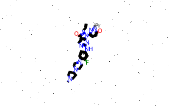 C=CCn1c(=O)c2cnc(Nc3ccc(N4CCN(C5CCN(C)CC5)CC4)c(F)c3)nc2n1-c1ccc(=O)n(C(C)C)n1